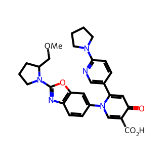 COCC1CCCN1c1nc2ccc(-n3cc(C(=O)O)c(=O)cc3-c3ccc(N4CCCC4)nc3)cc2o1